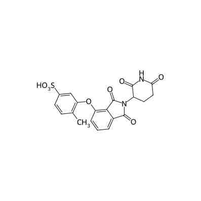 Cc1ccc(S(=O)(=O)O)cc1Oc1cccc2c1C(=O)N(C1CCC(=O)NC1=O)C2=O